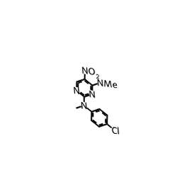 CNc1nc(N(C)c2ccc(Cl)cc2)ncc1[N+](=O)[O-]